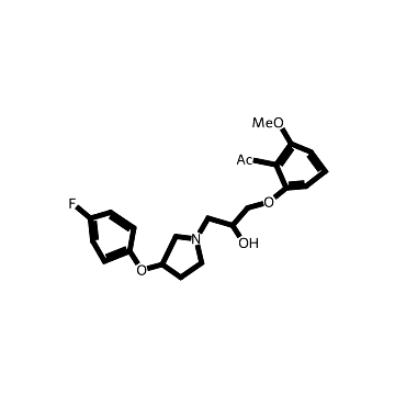 COc1cccc(OCC(O)CN2CCC(Oc3ccc(F)cc3)C2)c1C(C)=O